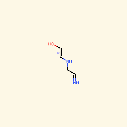 N=CCN/C=C/O